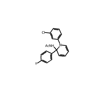 CC(=O)NC1(c2ccc(F)cc2)C=[C]C=CN1c1cccc(Cl)c1